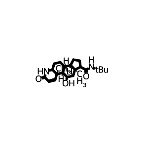 CC(C)(C)NC(=O)C1CC[C@H]2[C@@H]3CCC4NC(=O)C=C[C@]4(C)[C@@H]3C(O)C[C@]12C